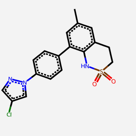 Cc1cc2c(c(-c3ccc(-n4cc(Cl)cn4)cc3)c1)NS(=O)(=O)CC2